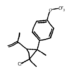 C=C(C)C1C(C)(Cl)C1(C)c1ccc(OC(F)(F)F)cc1